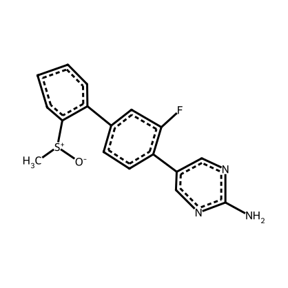 C[S+]([O-])c1ccccc1-c1ccc(-c2cnc(N)nc2)c(F)c1